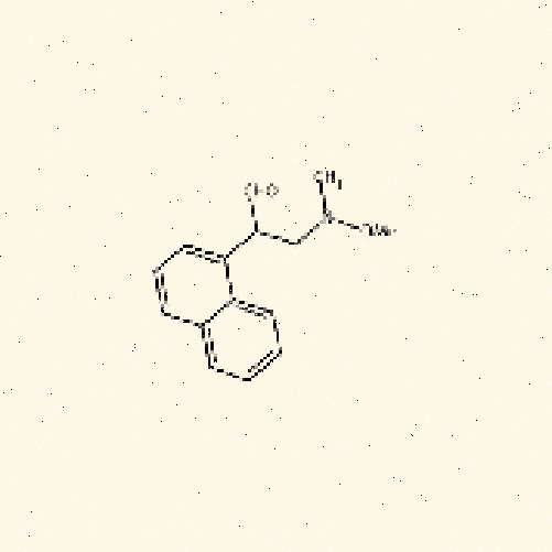 CON(C)CC(C=O)c1cccc2ccccc12